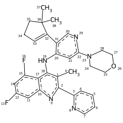 Cc1c(-c2ccccn2)nc2cc(F)cc(F)c2c1Nc1cc(N2CCOCC2)ncc1C1=CCCC1(C)C